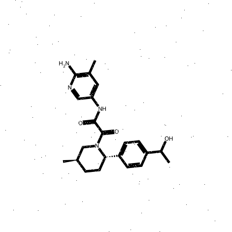 Cc1cc(NC(=O)C(=O)N2C[C@H](C)CC[C@H]2c2ccc(C(C)O)cc2)cnc1N